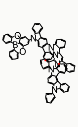 c1ccc(-c2cc(-c3ccccc3-n3c4ccccc4c4cc5c(cc43)c3ccccc3n5-c3cc4c5c(c3)Oc3ccccc3B5c3ccccc3O4)nc(-c3ccccc3-n3c4ccccc4c4c5c6ccccc6n(-c6ccccc6)c5ccc43)n2)cc1